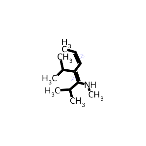 C/C=C\C(=C(/NC)C(C)C)C(C)C